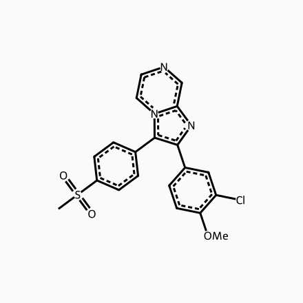 COc1ccc(-c2nc3cnccn3c2-c2ccc(S(C)(=O)=O)cc2)cc1Cl